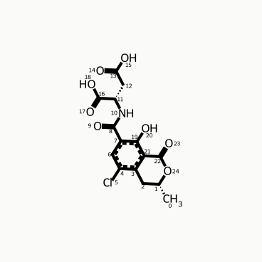 C[C@@H]1Cc2c(Cl)cc(C(=O)N[C@@H](CC(=O)O)C(=O)O)c(O)c2C(=O)O1